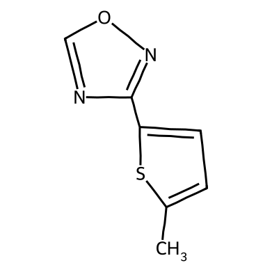 Cc1ccc(-c2ncon2)s1